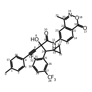 Cc1ccc(C#CC(O)(C(=O)Nc2ccc3c(=O)onc(C)c3c2)C(c2cc(C(F)(F)F)ccc2F)C2CC2)cc1